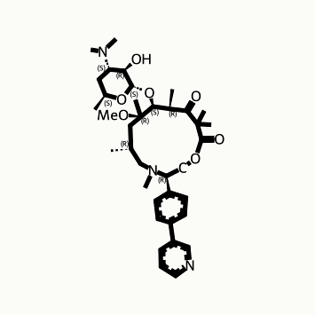 CO[C@]1(C)C[C@@H](C)CN(C)[C@H](c2ccc(-c3cccnc3)cc2)COC(=O)C(C)(C)C(=O)[C@H](C)[C@@H]1O[C@@H]1O[C@@H](C)C[C@H](N(C)C)[C@H]1O